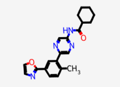 Cc1ccc(-c2ncco2)cc1-c1cnc(NC(=O)C2CCCCC2)cn1